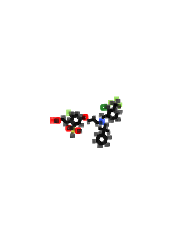 CC(C)(CN(CCCOc1cc(F)c(CCO)c(S(C)(=O)=O)c1)Cc1cccc(C(F)(F)F)c1Cl)c1ccccc1